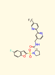 O=C(NCc1ccnc(-c2ccc(C(F)(F)F)cn2)c1)[C@@H]1CCCN1S(=O)(=O)c1cc2cc(F)ccc2o1